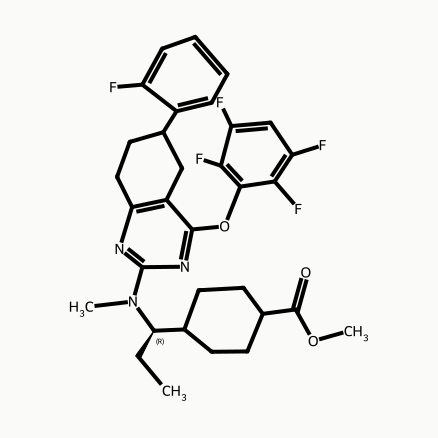 CC[C@H](C1CCC(C(=O)OC)CC1)N(C)c1nc2c(c(Oc3c(F)c(F)cc(F)c3F)n1)CC(c1ccccc1F)CC2